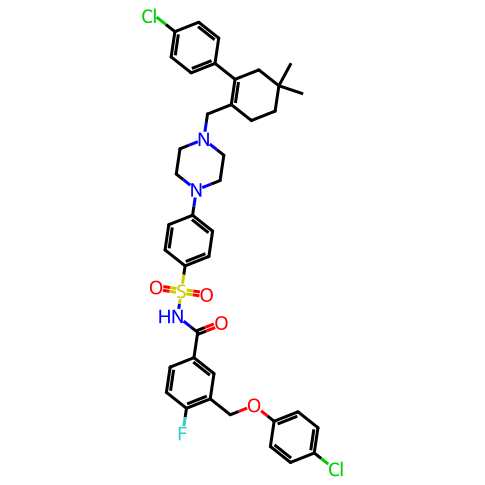 CC1(C)CCC(CN2CCN(c3ccc(S(=O)(=O)NC(=O)c4ccc(F)c(COc5ccc(Cl)cc5)c4)cc3)CC2)=C(c2ccc(Cl)cc2)C1